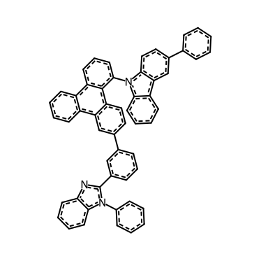 c1ccc(-c2ccc3c(c2)c2ccccc2n3-c2cccc3c4ccccc4c4cc(-c5cccc(-c6nc7ccccc7n6-c6ccccc6)c5)ccc4c23)cc1